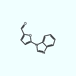 O=Cc1ccc(-n2cnc3ccccc32)o1